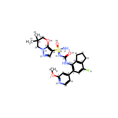 COc1cc(-c2cc(F)c3c(c2NC(=O)N=S(N)(=O)c2cnn4c2OCC(C)(C)C4)CCC3)ccn1